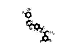 NCC(NC(=O)c1ccc(-c2nc([C@H]3CC[C@H](O)[C@H](F)C3)cnc2N)cc1F)c1cc(F)cc(Br)c1